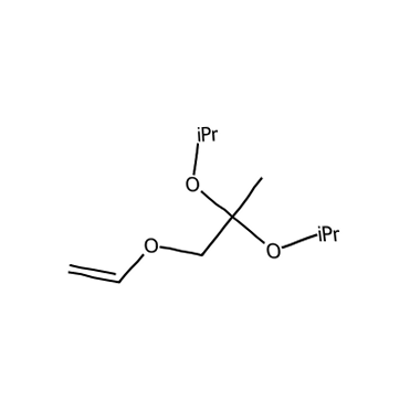 [CH2]C(C)OC(C)(COC=C)OC(C)C